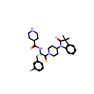 CC1(C)C(=O)N(C2CCN(C(=O)[C@H](Cc3cccc(F)c3)NC(=O)C3CCNCC3)CC2)c2ccccc21